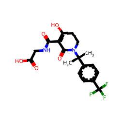 CC(C)(c1ccc(C(F)(F)F)cc1)N1CCC(O)=C(C(=O)NCC(=O)O)C1=O